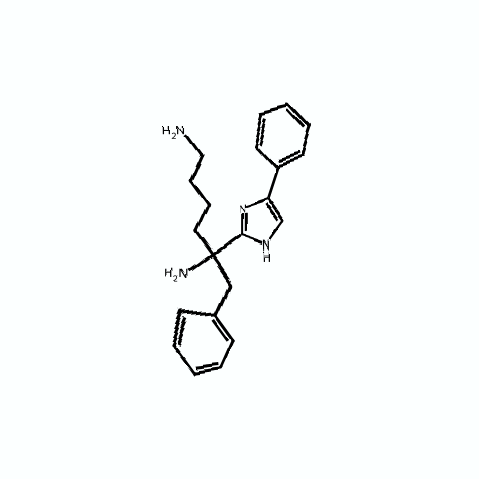 NCCCCC(N)(Cc1ccccc1)c1nc(-c2ccccc2)c[nH]1